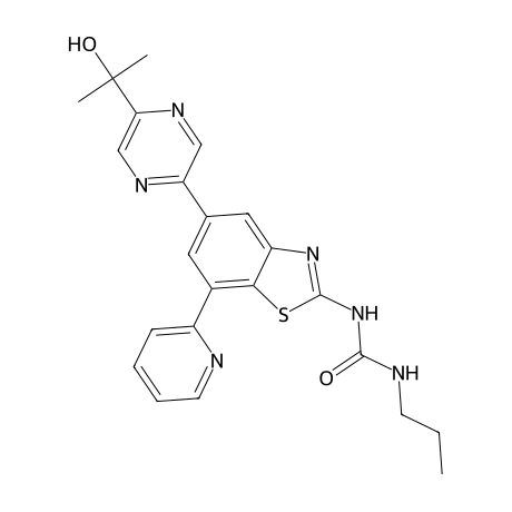 CCCNC(=O)Nc1nc2cc(-c3cnc(C(C)(C)O)cn3)cc(-c3ccccn3)c2s1